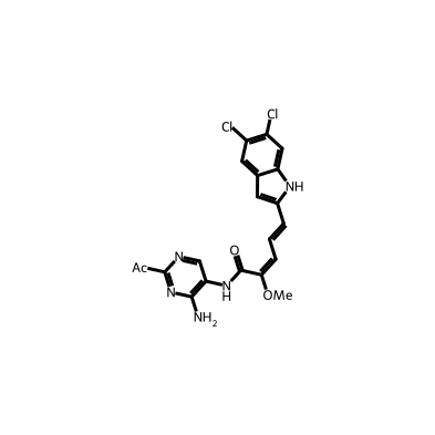 COC(=CC=Cc1cc2cc(Cl)c(Cl)cc2[nH]1)C(=O)Nc1cnc(C(C)=O)nc1N